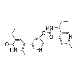 CCc1cc(-c2cncc(OC(=O)NC(CC)c3ccc(C)nc3)c2)c(C)[nH]c1=O